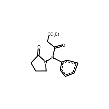 CCOC(=O)CC(=O)N(c1ccccc1)N1CCCC1=O